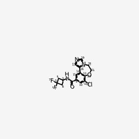 O=C(NC1CC(F)(F)C1)c1cc(Cl)c2c(c1)-c1cncn1CCO2